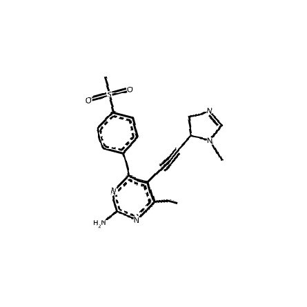 Cc1nc(N)nc(-c2ccc(S(C)(=O)=O)cc2)c1C#CC1CN=CN1C